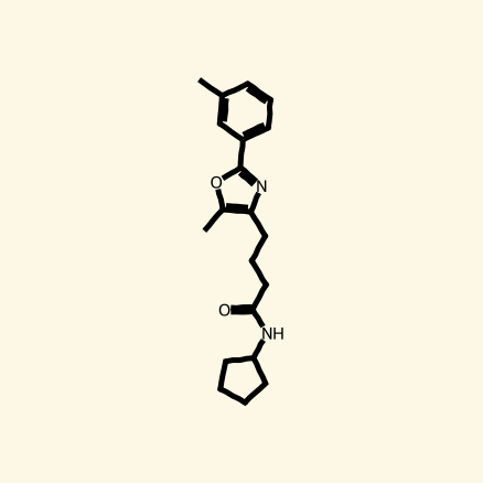 Cc1cccc(-c2nc(CCCC(=O)NC3CCCC3)c(C)o2)c1